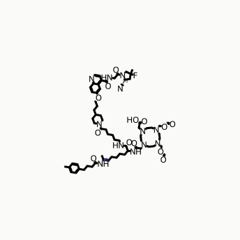 C/C(=C\CCCCC(NC(=O)CN1CCN(COC=O)CCN(COC=O)CCN(CC(=O)O)CC1)C(=O)NCCCCCC(=O)N1CCC(CCCOc2ccc3nccc(C(=O)NCC(=O)N4CC(C)(F)C[C@@H]4C#N)c3c2)CC1)NC(=O)CCCc1ccc(C)cc1